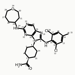 NC(=O)[C@H]1CC[C@@H](n2c(Nc3c(Cl)cc(F)cc3Cl)nc3cnc(NC4CCCOCC4)nc32)CC1